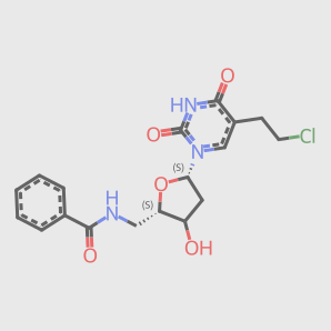 O=C(NC[C@@H]1O[C@H](n2cc(CCCl)c(=O)[nH]c2=O)CC1O)c1ccccc1